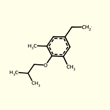 [CH2]Cc1cc(C)c(OCC(C)C)c(C)c1